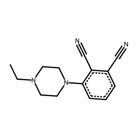 CCN1CCN(c2cccc(C#N)c2C#N)CC1